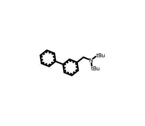 CC(C)(C)N(Cc1cccc(-c2ccccc2)c1)C(C)(C)C